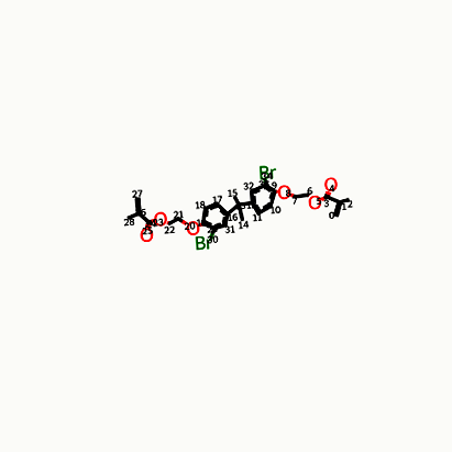 C=C(C)C(=O)OCCOc1ccc(C(C)(C)c2ccc(OCCOC(=O)C(=C)C)c(Br)c2)cc1Br